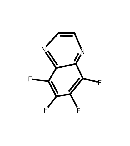 Fc1c(F)c(F)c2nccnc2c1F